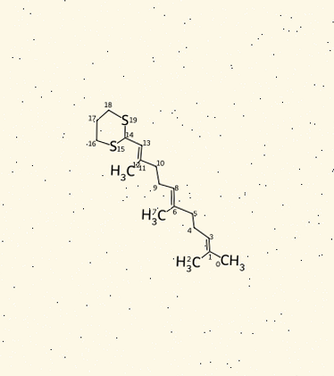 CC(C)=CCC/C(C)=C/CC/C(C)=C/C1SCCCS1